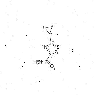 NC(=O)c1csc(C2CC2)n1